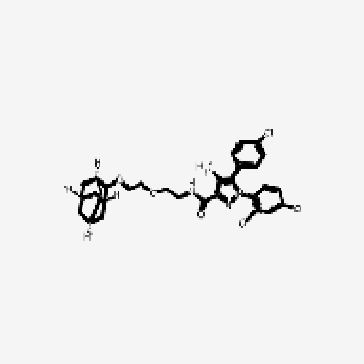 Cc1c(C(=O)NCCOCCOC2[C@H]3C[C@@H]4C[C@@H](C[C@H]2C4)C3)nn(-c2ccc(Cl)cc2Cl)c1-c1ccc(Cl)cc1